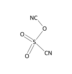 N#COS(=O)(=O)C#N